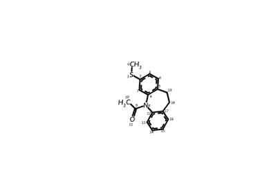 CSc1ccc2c(c1)N(C(C)=O)c1ccccc1CC2